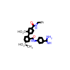 CC(C)CNC(=O)c1ccc(-c2ccccc2C(=O)Nc2ccc(C(=N)N)cc2)c(C(=O)O)c1.CS(=O)(=O)O